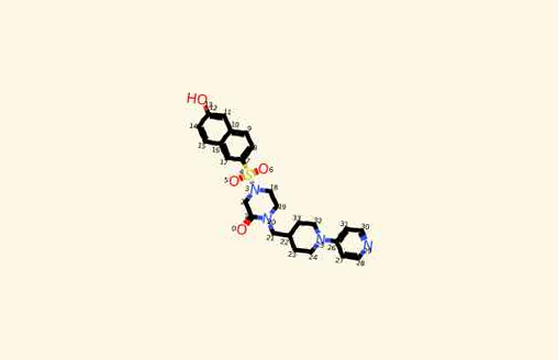 O=C1CN(S(=O)(=O)c2ccc3cc(O)ccc3c2)CCN1CC1CCN(c2ccncc2)CC1